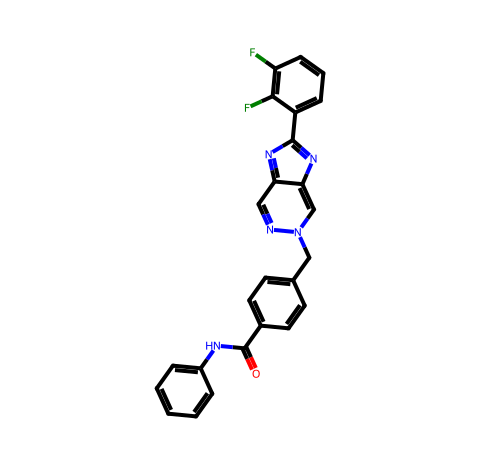 O=C(Nc1ccccc1)c1ccc(Cn2cc3nc(-c4cccc(F)c4F)nc-3cn2)cc1